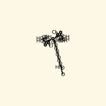 O=CCCCCC(=O)NCCOCCOCCOCCOCCOCCOCCOCCC(=O)Nc1cc(/C=C/C(=O)N2C[C@@H](CCl)c3c2cc(O[C@@H]2O[C@H](CO)[C@@H](O)[C@H](O)[C@H]2O)c2ccccc32)ccc1/C=C/C(=O)N1C[C@@H](CCl)c2c1cc(O[C@@H]1O[C@H](CO)[C@@H](O)[C@H](O)[C@H]1O)c1ccccc21